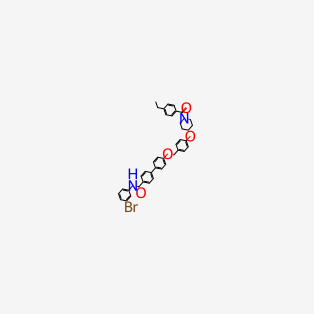 CCc1ccc(C(=O)N2CCC(Oc3ccc(COc4ccc(-c5ccc(C(=O)Nc6cccc(Br)c6)cc5)cc4)cc3)CC2)cc1